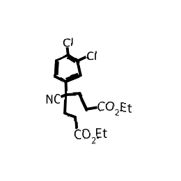 CCOC(=O)CCC(C#N)(CCC(=O)OCC)c1ccc(Cl)c(Cl)c1